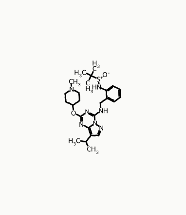 CC(C)c1cnn2c(NCc3ccccc3N[S+]([O-])C(C)(C)C)nc(OC3CCN(C)CC3)nc12